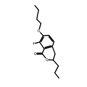 CCCCOc1ccc2c(c1F)C(=O)OC(CCC)C2